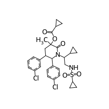 CC1(OC(=O)C2CC2)CC(c2cccc(Cl)c2)C(c2ccc(Cl)cc2)N(C(CNS(=O)(=O)C2CC2)C2CC2)C1=O